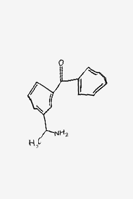 CC(N)c1cccc(C(=O)c2ccccc2)c1